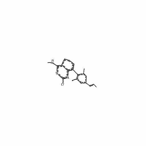 C/C=C/c1cc(C)c(-c2cccc3c(NC)nc(Cl)nc23)c(C)c1